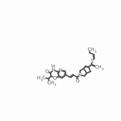 C=C(S/C=C\CC)C1=CC2CN(C(=O)/C=C/c3cnc4c(c3)OC(C(C)C)C(=O)N4)CC2C1